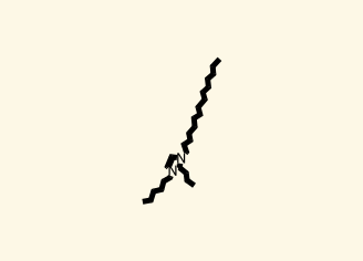 CCCCCCCCCCCCCCCn1cc[n+](CCCCCC)c1CCC